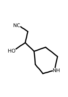 N#CCC(O)C1CCNCC1